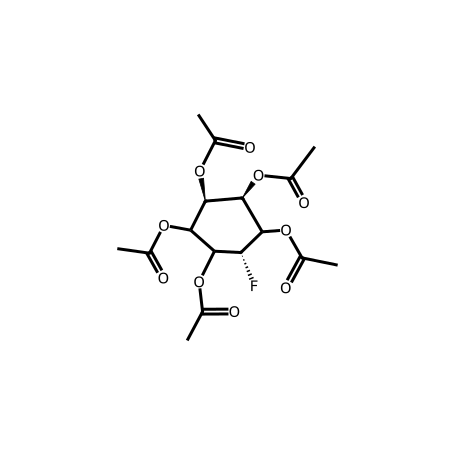 CC(=O)OC1C(OC(C)=O)[C@@H](OC(C)=O)[C@@H](OC(C)=O)C(OC(C)=O)[C@@H]1F